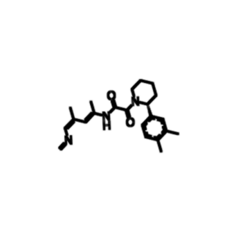 C=N/C=C(C)\C=C(/C)NC(=O)C(=O)N1CCCC[C@H]1c1ccc(C)c(C)c1